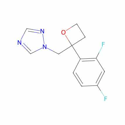 Fc1ccc(C2(Cn3cncn3)CCO2)c(F)c1